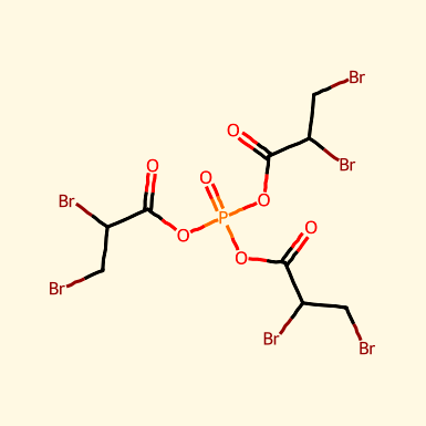 O=C(OP(=O)(OC(=O)C(Br)CBr)OC(=O)C(Br)CBr)C(Br)CBr